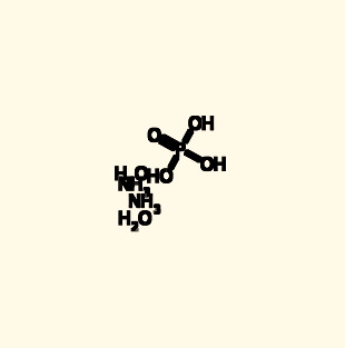 N.N.O.O.O=P(O)(O)O